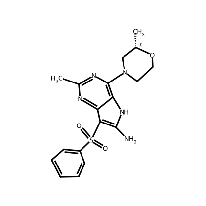 Cc1nc(N2CCO[C@@H](C)C2)c2[nH]c(N)c(S(=O)(=O)c3ccccc3)c2n1